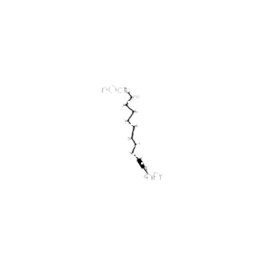 [CH2]CCC#CCCCCCCCCCCCCCCC[CH2]